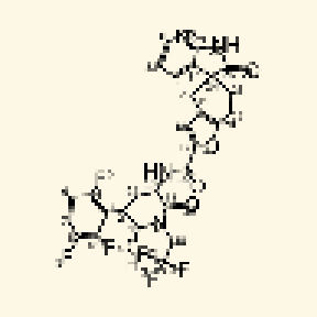 CC1C(c2c(F)ccc(F)c2F)CC(NC(=O)c2cc3c(o2)CCC2(C3)C(=O)Nc3ncccc32)C(=O)N1CC(F)(F)F